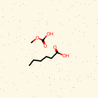 CCCCCC(=O)O.COC(=O)O